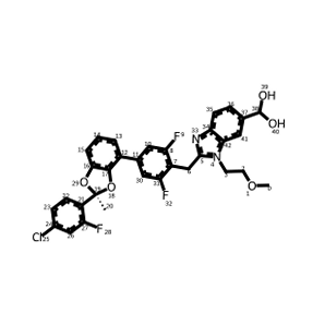 COCCn1c(Cc2c(F)cc(-c3cccc4c3O[C@@](C)(c3ccc(Cl)cc3F)O4)cc2F)nc2ccc(C(O)O)cc21